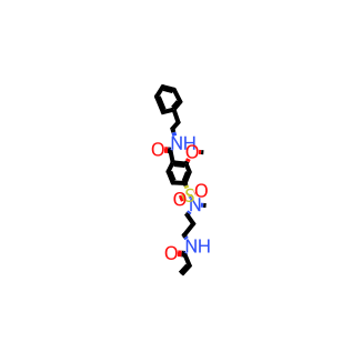 C=CC(=O)NCCCN(C)S(=O)(=O)c1ccc(C(=O)NCCc2ccccc2)c(OC)c1